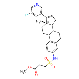 COC(=O)CCS(=O)(=O)Nc1ccc2c(c1)CCC1C2CC[C@]2(C)C(c3cncc(F)c3)=CCC12